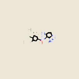 COc1ccc2ncn(C)c2c1CNC(=O)c1ccc(C(C)F)c(C)c1